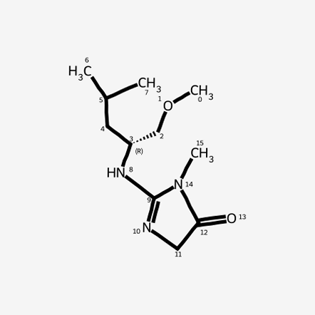 COC[C@@H](CC(C)C)NC1=NCC(=O)N1C